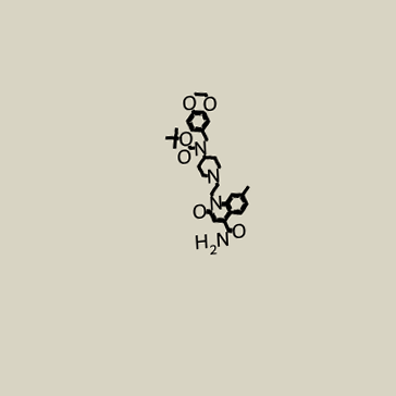 Cc1ccc2c(C(N)=O)cc(=O)n(CCN3CCC(N(Cc4ccc5c(c4)OCCO5)C(=O)OC(C)(C)C)CC3)c2c1